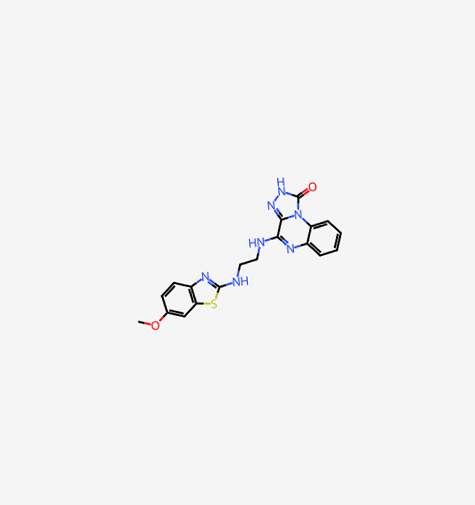 COc1ccc2nc(NCCNc3nc4ccccc4n4c(=O)[nH]nc34)sc2c1